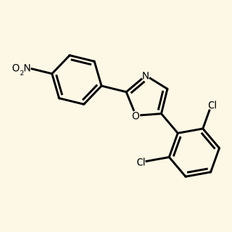 O=[N+]([O-])c1ccc(-c2ncc(-c3c(Cl)cccc3Cl)o2)cc1